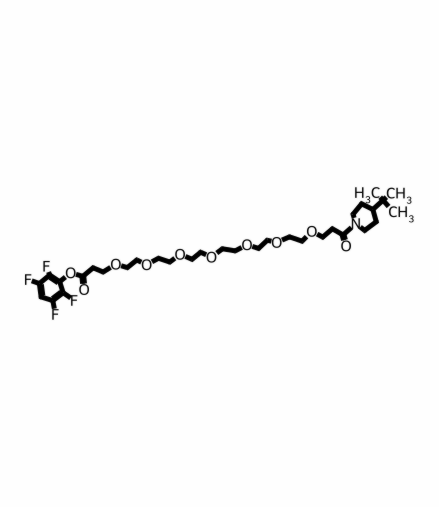 CC(C)(C)C1CCN(C(=O)CCOCCOCCOCCOCCOCCOCCOCCC(=O)Oc2c(F)c(F)cc(F)c2F)CC1